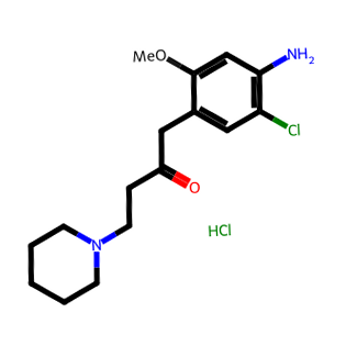 COc1cc(N)c(Cl)cc1CC(=O)CCN1CCCCC1.Cl